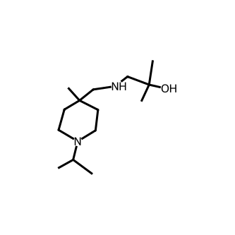 CC(C)N1CCC(C)(CNCC(C)(C)O)CC1